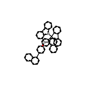 c1ccc(C2(n3c4ccccc4c4cccc(N(c5ccc(-c6cccc7ccccc67)cc5)c5cccc6ccccc56)c43)c3ccccc3-c3ccccc32)cc1